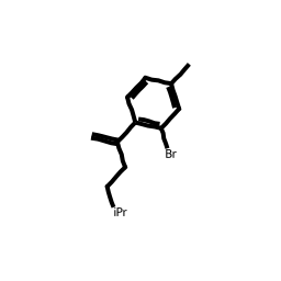 C=C(CCC(C)C)c1ccc(C)cc1Br